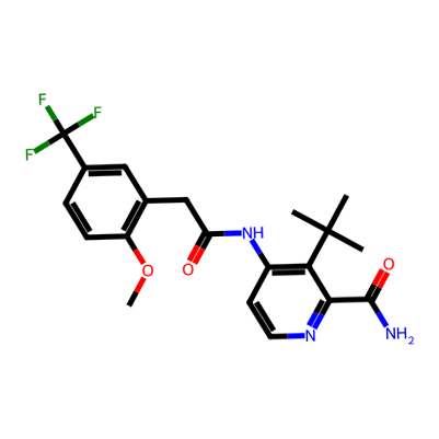 COc1ccc(C(F)(F)F)cc1CC(=O)Nc1ccnc(C(N)=O)c1C(C)(C)C